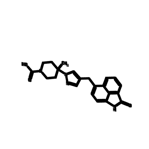 CC1(n2cc(Cc3ccc4c5c(cccc35)C(=O)N4)cn2)CCN(C(=O)O)CC1